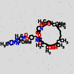 CO[C@H]1C[C@@H]2CC[C@@H](C)[C@@](O)(O2)C(=O)C(=O)N2CCCC[C@H]2C(=O)O[C@H]([C@H](N)C[C@@H]2CC[C@@H](OC(=O)N(C)Cc3cnc(N4CCN(C)CC4)nc3)[C@H](OC)C2)CC(=O)[C@H](C)/C=C(\C)[C@@H](O)[C@@H](O)C(=O)C(C)C[C@H](C)/C=C/C=C/C=C/1C